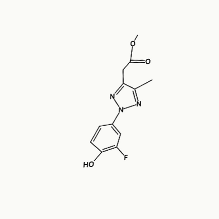 COC(=O)Cc1nn(-c2ccc(O)c(F)c2)nc1C